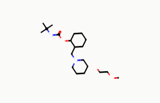 COCCO[C@@H]1CCCN(CC2CCCCC2OC(=O)NC(C)(C)C)C1